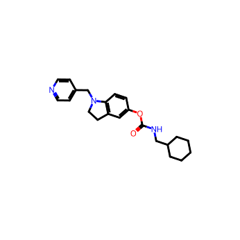 O=C(NCC1CCCCC1)Oc1ccc2c(c1)CCN2Cc1ccncc1